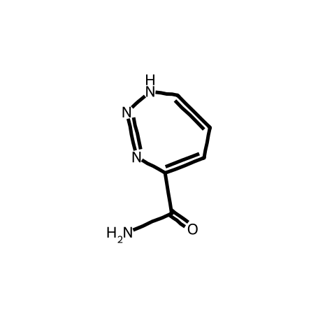 NC(=O)C1=CC=CNN=N1